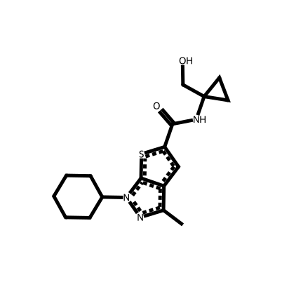 Cc1nn(C2CCCCC2)c2sc(C(=O)NC3(CO)CC3)cc12